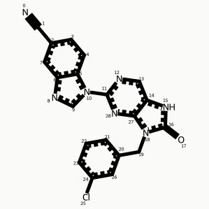 N#Cc1ccc2c(c1)ncn2-c1ncc2[nH]c(=O)n(Cc3cccc(Cl)c3)c2n1